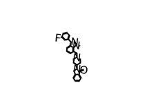 Cn1nc(-c2cccc(F)c2)c2cccc(CN3CCC(N4Cc5ccccc5C4=O)CC3)c21